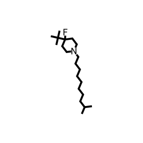 CC(C)CCCCCCCCN1CCC(F)(C(C)(C)C)CC1